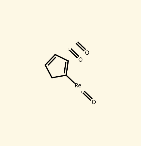 [C]=O.[C]=O.[C]=O.[Re][C]1=CC=CC1